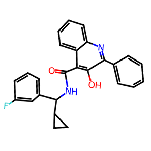 O=C(NC(c1cccc(F)c1)C1CC1)c1c(O)c(-c2ccccc2)nc2ccccc12